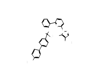 O=C(O)c1cnn(-c2cccc(-c3ccccc3OC(F)(F)c3ccc(-c4ccc(C(F)(F)F)cc4)cc3)n2)c1C(F)(F)F